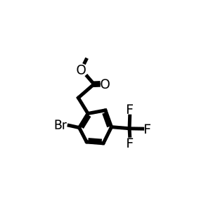 COC(=O)Cc1cc(C(F)(F)F)ccc1Br